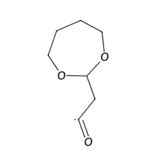 O=[C]CC1OCCCCO1